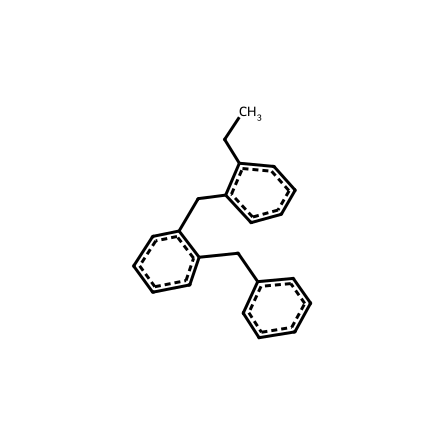 CCc1ccccc1Cc1ccccc1Cc1ccccc1